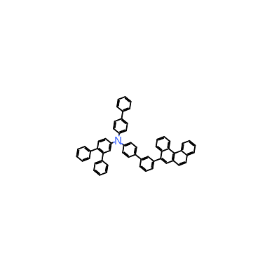 c1ccc(-c2ccc(N(c3ccc(-c4cccc(-c5cc6ccc7ccccc7c6c6ccccc56)c4)cc3)c3ccc(-c4ccccc4)c(-c4ccccc4)c3)cc2)cc1